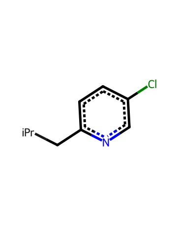 CC(C)Cc1ccc(Cl)cn1